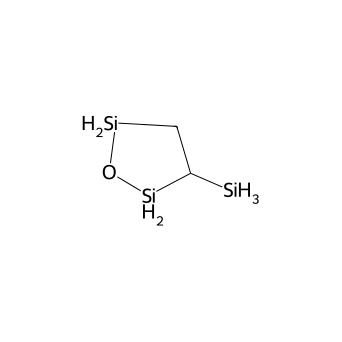 [SiH3]C1C[SiH2]O[SiH2]1